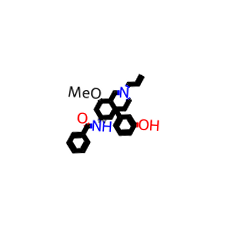 C=CCN1CCC2(c3cccc(O)c3)C[C@@H](NC(=O)c3ccccc3)CC(OC)C2C1